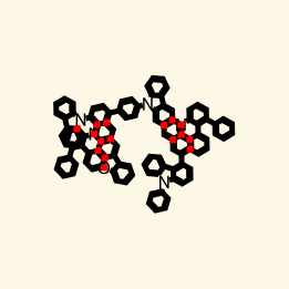 c1ccc(-c2ccccc2-c2c(-c3ccccc3)cccc2N(c2ccc(-c3cccc4c3c3ccccc3n4-c3ccccc3)cc2)c2ccc3c(c2)c2ccccc2n3-c2ccc(-c3ccc(-n4c5ccccc5c5ccccc54)c(N(c4ccc5c(c4)oc4ccccc45)c4cccc(-c5ccccc5)c4-c4ccccc4-c4ccccc4)c3)cc2)cc1